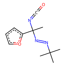 CC(C)(C)N=NC(C)(N=C=O)c1ccco1